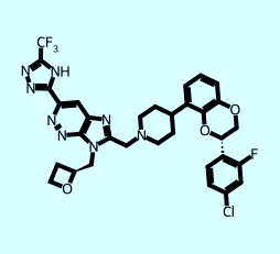 Fc1cc(Cl)ccc1[C@H]1COc2cccc(C3CCN(Cc4nc5cc(-c6nnc(C(F)(F)F)[nH]6)nnc5n4C[C@@H]4CCO4)CC3)c2O1